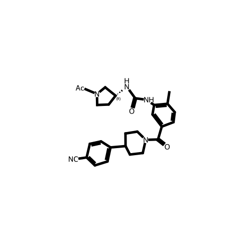 CC(=O)N1CC[C@@H](NC(=O)Nc2cc(C(=O)N3CCC(c4ccc(C#N)cc4)CC3)ccc2C)C1